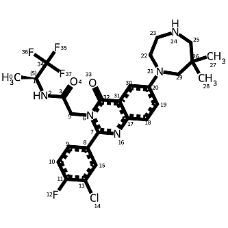 C[C@H](NC(=O)Cn1c(-c2ccc(F)c(Cl)c2)nc2ccc(N3CCNCC(C)(C)C3)cc2c1=O)C(F)(F)F